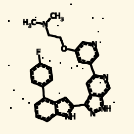 CN(C)CCOc1cncc(-c2cc3c(-c4cc5c(-c6ccc(F)cc6)cccc5[nH]4)n[nH]c3cn2)c1